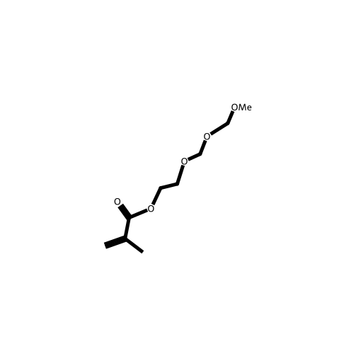 C=C(C)C(=O)OCCOCOCOC